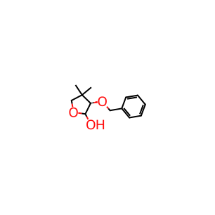 CC1(C)COC(O)[C@@H]1OCc1ccccc1